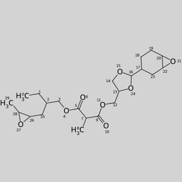 CCC(COC(=O)C(C)C(=O)OCC1COC(C2CCC3OC3C2)O1)CC1OC1C